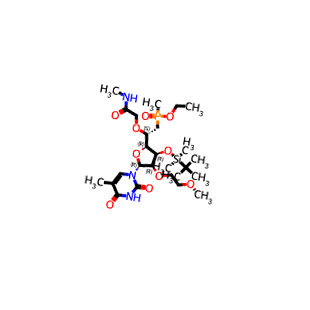 CCOP(C)(=O)C[C@@H](OCC(=O)NC)[C@H]1O[C@@H](n2cc(C)c(=O)[nH]c2=O)[C@H](OCCOC)[C@@H]1O[Si](C)(C)C(C)(C)C